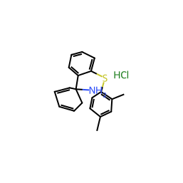 Cc1ccc(Sc2ccccc2C2(N)C=CC=CC2)c(C)c1.Cl